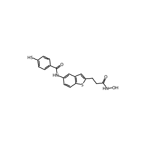 O=C(CCc1cc2cc(NC(=O)c3ccc(S)cc3)ccc2s1)NO